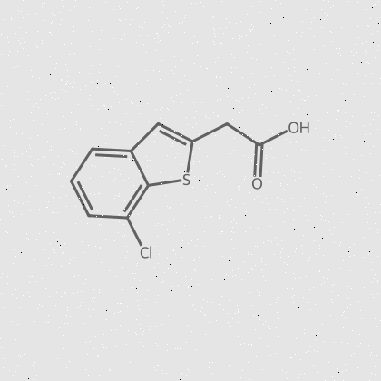 O=C(O)Cc1cc2cccc(Cl)c2s1